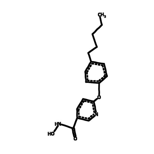 CCCCCc1ccc(Oc2ccc(C(=O)NO)cn2)cc1